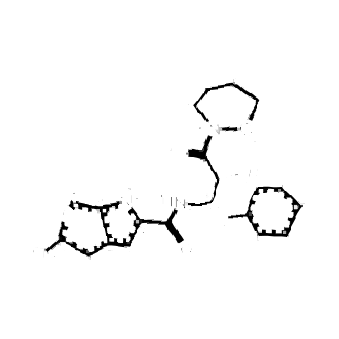 O=C(N[C@@H](Cc1ccccc1)[C@@H](O)C(=O)N1CCCCO1)c1cc2cc(Cl)ccc2[nH]1